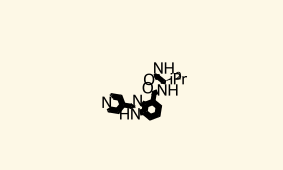 CC(C)[C@H](NC(=O)c1cccc2[nH]c(-c3ccncc3)nc12)C(N)=O